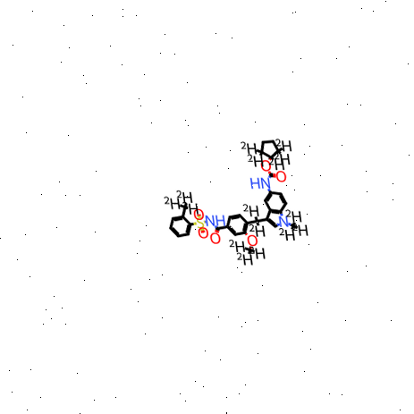 [2H]C([2H])([2H])Oc1cc(C(=O)NS(=O)(=O)c2ccccc2C([2H])([2H])[2H])ccc1C([2H])([2H])c1cn(C([2H])([2H])[2H])c2ccc(NC(=O)OC3([2H])C([2H])([2H])CCC3([2H])[2H])cc12